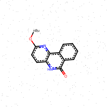 CCCCOc1ccc2[nH]c(=O)c3ccccc3c2n1